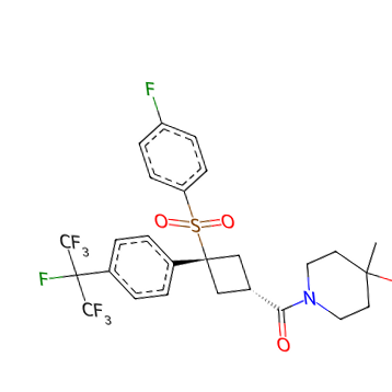 CC1(O)CCN(C(=O)[C@H]2C[C@@](c3ccc(C(F)(C(F)(F)F)C(F)(F)F)cc3)(S(=O)(=O)c3ccc(F)cc3)C2)CC1